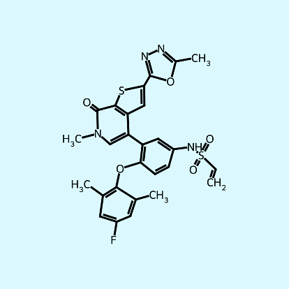 C=CS(=O)(=O)Nc1ccc(Oc2c(C)cc(F)cc2C)c(-c2cn(C)c(=O)c3sc(-c4nnc(C)o4)cc23)c1